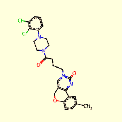 Cc1ccc2c(c1)-c1nc(=O)n(CCCC(=O)N3CCN(c4cccc(Cl)c4Cl)CC3)cc1CO2